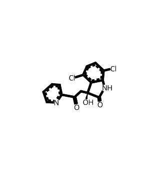 O=C(C[C@@]1(O)C(=O)Nc2c(Cl)ccc(Cl)c21)c1ccccn1